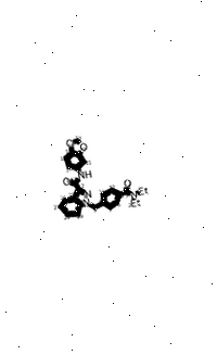 CCN(CC)C(=O)c1ccc(Cn2nc(C(=O)Nc3ccc4c(c3)OCO4)c3ccccc32)cc1